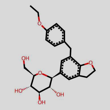 CCOc1ccc(Cc2cc([C@@H]3O[C@H](CO)[C@@H](O)[C@H](O)[C@H]3O)cc3c2OCC3)cc1